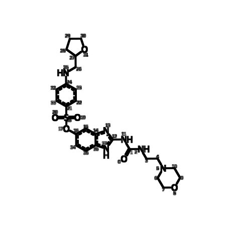 O=C(NCCN1CCOCC1)Nc1nc2cc(OS(=O)(=O)c3ccc(NCC4CCCO4)cc3)ccc2[nH]1